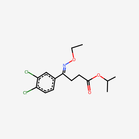 CCON=C(CCC(=O)OC(C)C)c1ccc(Cl)c(Cl)c1